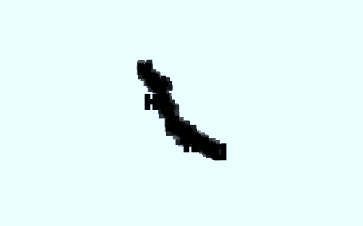 CCN(CC)Cc1ccc2c(c1)cc(C#CCNc1ccc(CCN(CC)Cc3ccc4c(c3)cc(C#CCNc3ccc(Cl)cc3)n4CC)cc1)n2CC